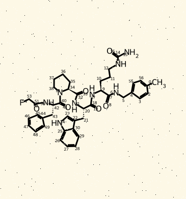 Cc1ccc(CNC(=O)[C@H](CCCNC(N)=O)NC(=O)[C@H](Cc2c[nH]c3ccccc23)NC(=O)[C@@H]2CCCCN2C(=O)[C@H](Cc2ccccc2)NC(=O)CF)cc1